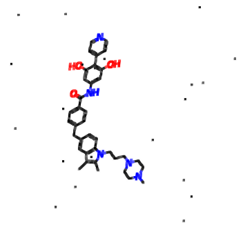 Cc1c(C)n(CCCN2CCN(C)CC2)c2ccc(Cc3ccc(C(=O)Nc4cc(O)c(-c5ccncc5)c(O)c4)cc3)cc12